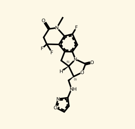 CN1C(=O)CC(F)(F)c2c3c(cc(F)c21)N1C(=O)O[C@@H](CNc2ccon2)[C@@H]1C3